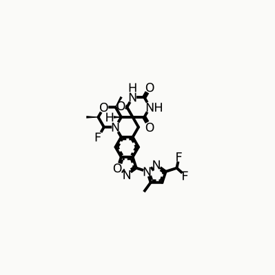 Cc1cc(C(F)F)nn1-c1noc2cc3c(cc12)CC1(C(=O)NC(=O)NC1=O)[C@H]1[C@H](C)O[C@H](C)C(F)N31